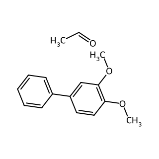 CC=O.COc1ccc(-c2ccccc2)cc1OC